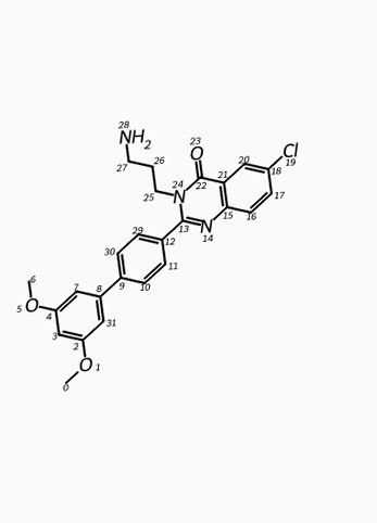 COc1cc(OC)cc(-c2ccc(-c3nc4ccc(Cl)cc4c(=O)n3CCCN)cc2)c1